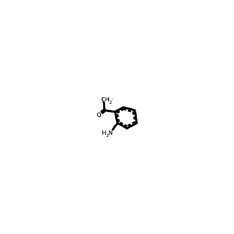 [CH2]C(=O)c1ccccc1N